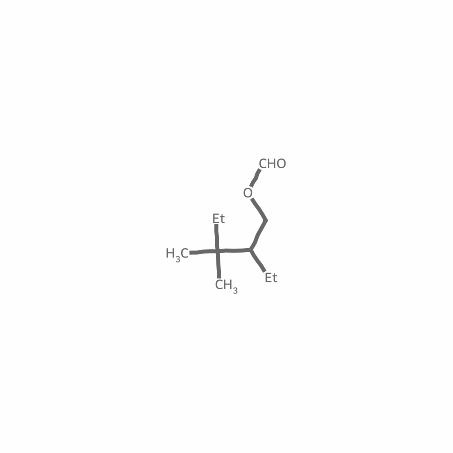 CCC(COC=O)C(C)(C)CC